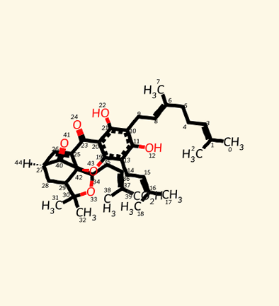 CC(C)=CCC/C(C)=C/Cc1c(O)c(CC=C(C)C)c2c(c1O)C(=O)C1=C[C@@H]3CC4C(C)(C)OC(C/C=C(\C)C(=O)O)(C3=O)[C@@]14O2